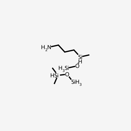 C[SiH](C)O[SiH3].C[SiH](CCCN)O[SiH3]